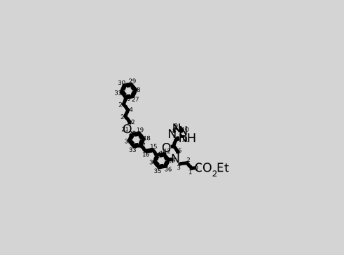 CCOC(=O)CCCN1CC(c2nnn[nH]2)Oc2c(C=Cc3ccc(OCCCCc4ccccc4)cc3)cccc21